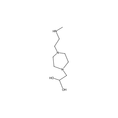 CNCCN1CCN(CC(O)O)CC1